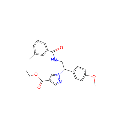 CCOC(=O)c1cnn(C(CNC(=O)c2cccc(C)c2)c2ccc(OC)cc2)c1